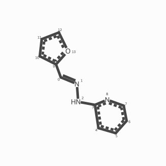 C(=NNc1ccccn1)c1ccco1